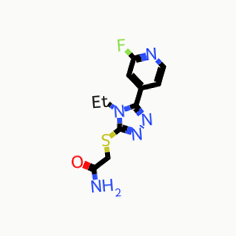 CCn1c(SCC(N)=O)nnc1-c1ccnc(F)c1